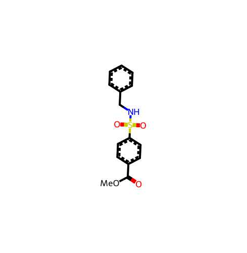 COC(=O)c1ccc(S(=O)(=O)NCc2ccccc2)cc1